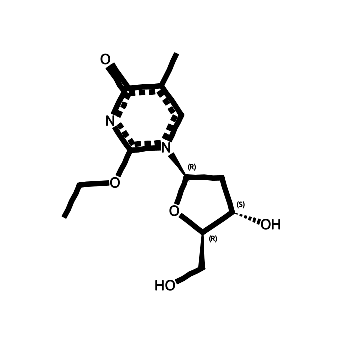 CCOc1nc(=O)c(C)cn1[C@H]1C[C@H](O)[C@@H](CO)O1